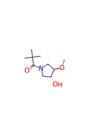 CO[C@@H]1CN(C(=O)C(C)(C)C)C[C@H]1O